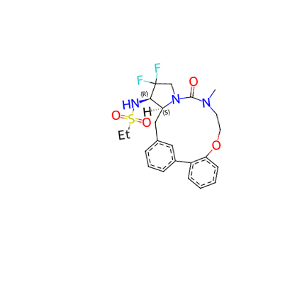 CCS(=O)(=O)N[C@@H]1[C@@H]2Cc3cccc(c3)-c3ccccc3OCCN(C)C(=O)N2CC1(F)F